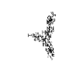 CC1CCN(S(=O)(=O)c2ccc(-c3cnc(Nc4ccnc(-c5cnn(S(=O)(=O)C6CC6)c5)n4)cc3NC3CCC(C(C)(C)O)CC3)nc2)CC1